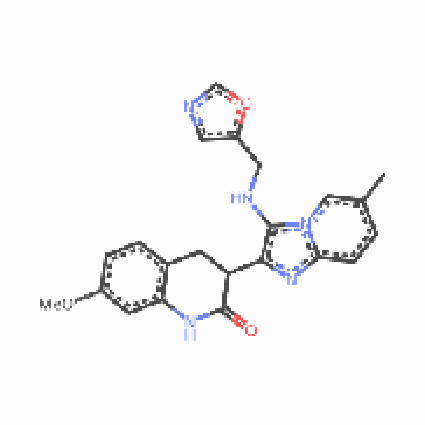 COc1ccc2c(c1)NC(=O)C(c1nc3ccc(C)cn3c1NCc1cnco1)C2